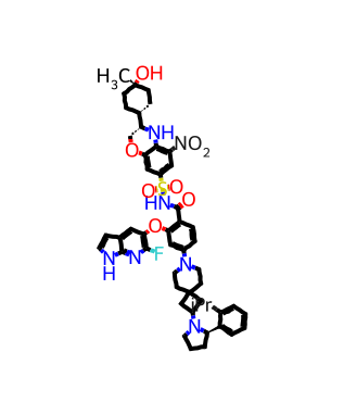 CC(C)c1ccccc1[C@H]1CCCN1C1CC2(CCN(c3ccc(C(=O)NS(=O)(=O)c4cc5c(c([N+](=O)[O-])c4)N[C@@H]([C@H]4CC[C@](C)(O)CC4)CO5)c(Oc4cc5cc[nH]c5nc4F)c3)CC2)C1